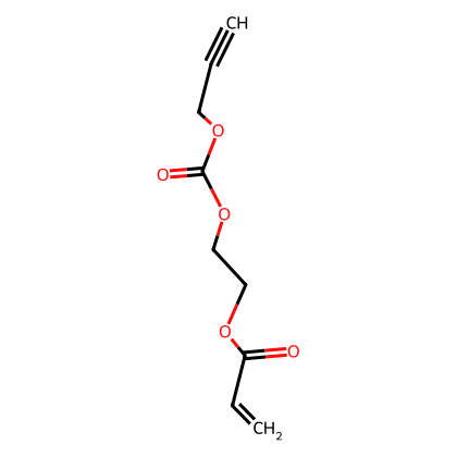 C#CCOC(=O)OCCOC(=O)C=C